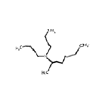 [CH2]CCCC(C)N(CCC)CCC